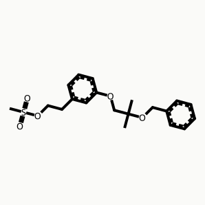 CC(C)(COc1cccc(CCOS(C)(=O)=O)c1)OCc1ccccc1